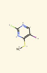 N#CSc1nc(F)ncc1I